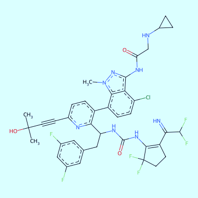 Cn1nc(NC(=O)CNC2CC2)c2c(Cl)ccc(-c3ccc(C#CC(C)(C)O)nc3C(Cc3cc(F)cc(F)c3)NC(=O)NC3=C(C(=N)C(F)F)CCC3(F)F)c21